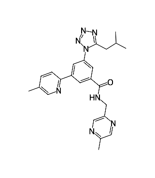 Cc1ccc(-c2cc(C(=O)NCc3cnc(C)cn3)cc(-n3nnnc3CC(C)C)c2)nc1